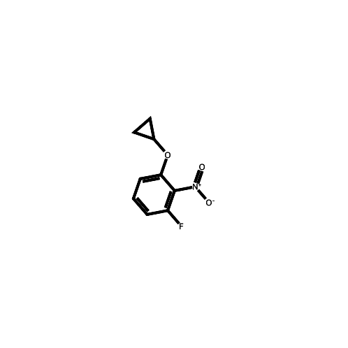 O=[N+]([O-])c1c(F)cccc1OC1CC1